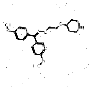 COc1ccc(C(=NOCCOC2CCNCC2)c2ccc(OC)cc2)cc1